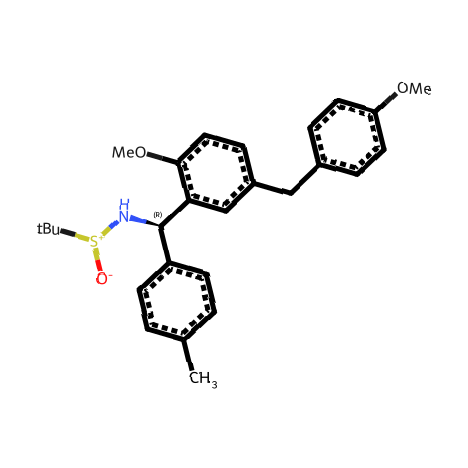 COc1ccc(Cc2ccc(OC)c([C@H](N[S+]([O-])C(C)(C)C)c3ccc(C)cc3)c2)cc1